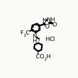 Cl.O=c1[nH]nc(-c2ccc(C(F)(F)F)c(NC[C@H]3CC[C@H](C(=O)O)CC3)c2)o1